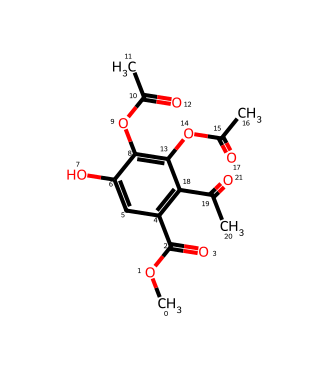 COC(=O)c1cc(O)c(OC(C)=O)c(OC(C)=O)c1C(C)=O